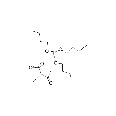 CC(=O)C(C)C(=O)[O-].CCCC[O][Ti+]([O]CCCC)[O]CCCC